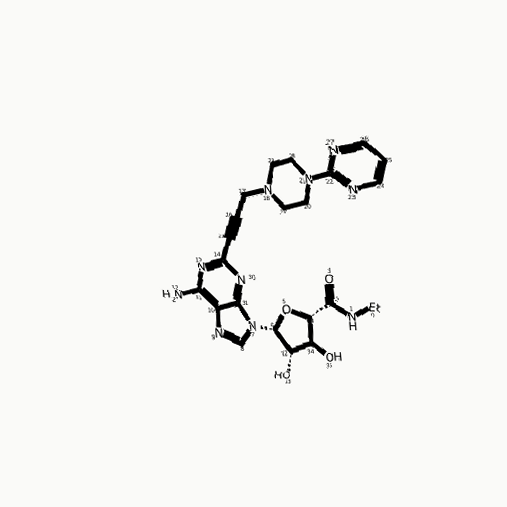 CCNC(=O)[C@H]1O[C@@H](n2cnc3c(N)nc(C#CCN4CCN(c5ncccn5)CC4)nc32)[C@@H](O)C1O